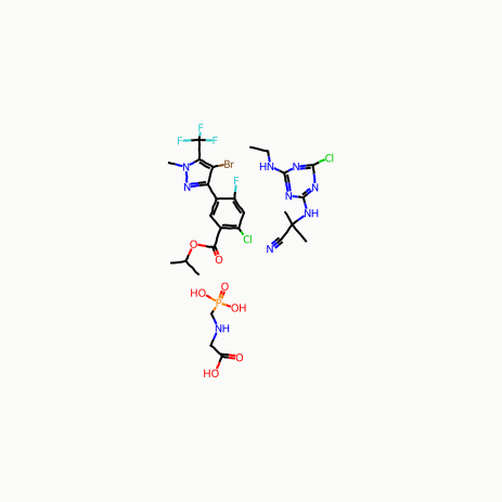 CC(C)OC(=O)c1cc(-c2nn(C)c(C(F)(F)F)c2Br)c(F)cc1Cl.CCNc1nc(Cl)nc(NC(C)(C)C#N)n1.O=C(O)CNCP(=O)(O)O